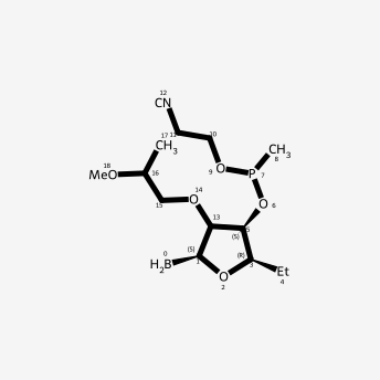 B[C@@H]1O[C@H](CC)[C@H](OP(C)OCC[N+]#[C-])C1OCC(C)OC